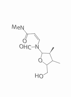 CNC(=O)/C=C\N(C=O)C1OC(CO)C(C)[C@@H]1C